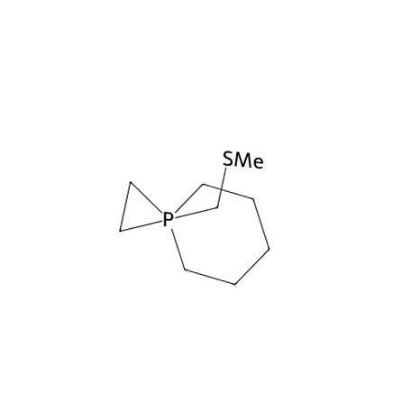 CSCP12(CCCCC1)CC2